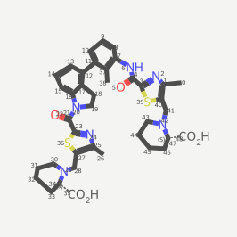 Cc1nc(C(=O)Nc2cccc(-c3cccc4c3CCN4C(=O)c3nc(C)c(CN4CCCC[C@H]4C(=O)O)s3)c2C)sc1CN1CCCC[C@H]1C(=O)O